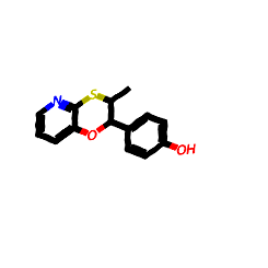 CC1Sc2ncccc2OC1c1ccc(O)cc1